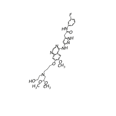 COc1cc2c(Nc3cc(CC(=O)Nc4cccc(F)c4)[nH]n3)ncnc2cc1OCCCN(CCO)CC(OC)OC